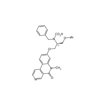 CC(C)OC[C@@H](COc1ccc2c3ccncc3c(=O)n(C)c2c1)N(Cc1ccccc1)C(=O)O